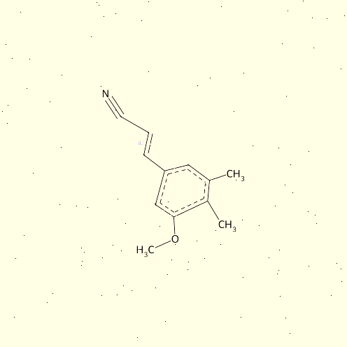 COc1cc(/C=C/C#N)cc(C)c1C